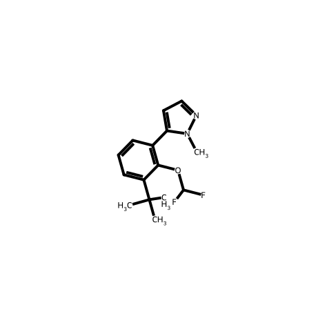 Cn1nccc1-c1cccc(C(C)(C)C)c1OC(F)F